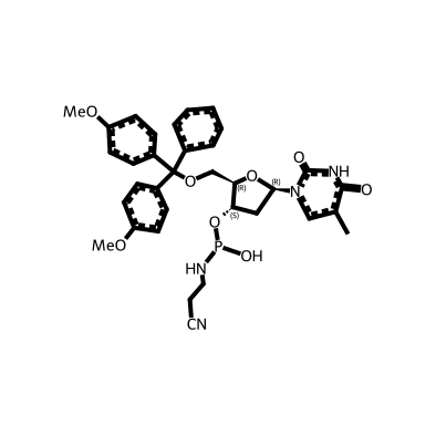 COc1ccc(C(OC[C@H]2O[C@@H](n3cc(C)c(=O)[nH]c3=O)C[C@@H]2OP(O)NCCC#N)(c2ccccc2)c2ccc(OC)cc2)cc1